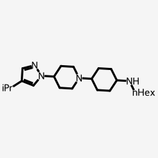 CCCCCCNC1CCC(N2CCC(n3cc(C(C)C)cn3)CC2)CC1